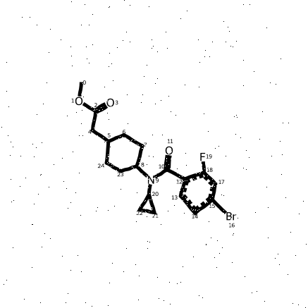 COC(=O)CC1CCC(N(C(=O)c2ccc(Br)cc2F)C2CC2)CC1